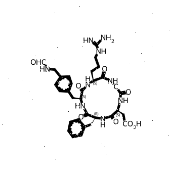 N=C(N)NCCC[C@@H]1NC(=O)[C@H](Cc2ccc(CNC=O)cc2)NC(=O)[C@@H](Cc2ccccc2)NC(=O)[C@H](CC(=O)O)NC(=O)CNC1=O